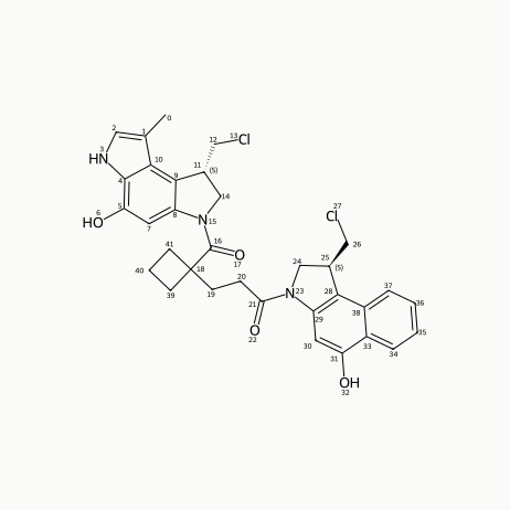 Cc1c[nH]c2c(O)cc3c(c12)[C@H](CCl)CN3C(=O)C1(CCC(=O)N2C[C@@H](CCl)c3c2cc(O)c2ccccc32)CCC1